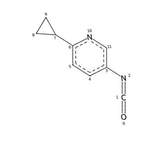 O=C=Nc1ccc(C2CC2)nc1